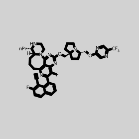 C#Cc1c(F)ccc2cccc(-c3nc4c5c(nc(OC[C@@]67CCCN6[C@H](COc6cnc(C(F)(F)F)cn6)CC7)nc5c3F)N3CCN[C@@H](CCC)[C@H]3CCC4)c12